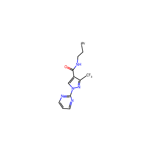 CC(C)CCNC(=O)c1cn(-c2ncccn2)nc1C(F)(F)F